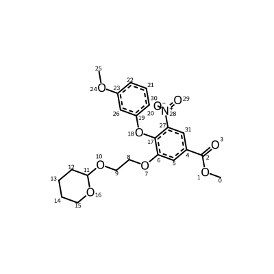 COC(=O)c1cc(OCCOC2CCCCO2)c(Oc2cccc(OC)c2)c([N+](=O)[O-])c1